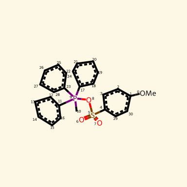 COc1ccc(S(=O)(=O)OP(C)(c2ccccc2)(c2ccccc2)c2ccccc2)cc1